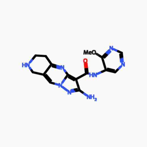 COc1ncncc1NC(=O)c1c(N)nn2cc3c(nc12)CCNC3